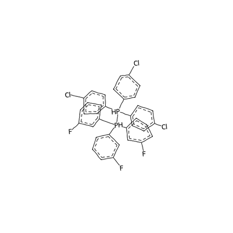 Fc1cccc([PH](c2cccc(F)c2)(c2cccc(F)c2)[PH](c2ccc(Cl)cc2)(c2ccc(Cl)cc2)c2ccc(Cl)cc2)c1